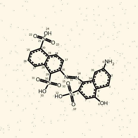 Nc1ccc2c(O)cc(S(=O)(=O)O)c(N=Nc3ccc4c(S(=O)(=O)O)cccc4c3S(=O)(=O)O)c2c1